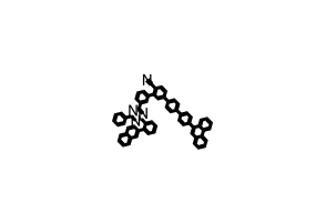 N#Cc1ccc(-c2ccc(-c3ccc(-c4cc5ccccc5c5ccccc45)cc3)cc2)cc1-c1cccc(-c2nc(-c3ccccc3)nc(-c3ccccc3-c3ccc4ccccc4c3)n2)c1